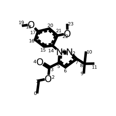 CCOC(=O)c1cc(C(C)(C)C)nn1-c1ccc(OC)cc1OC